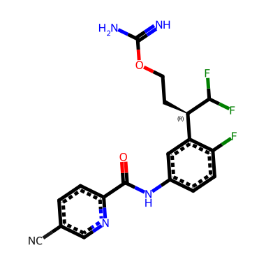 N#Cc1ccc(C(=O)Nc2ccc(F)c([C@@H](CCOC(=N)N)C(F)F)c2)nc1